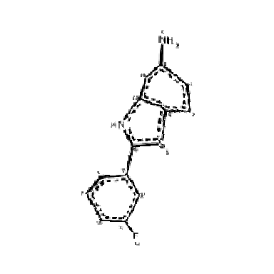 Nc1ccc2sc(-c3cccc(F)c3)nc2c1